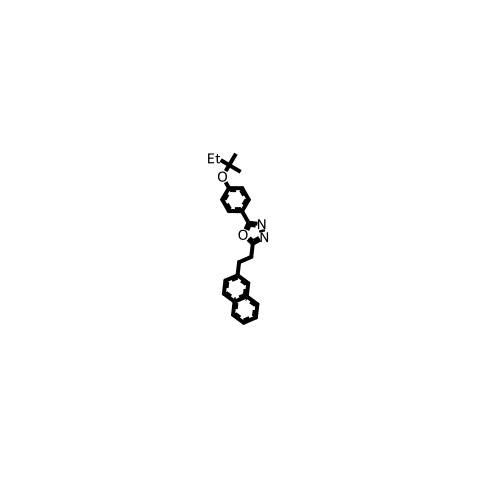 [CH2]CC(C)(C)Oc1ccc(-c2nnc(CCc3ccc4ccccc4c3)o2)cc1